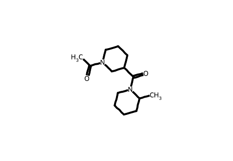 CC(=O)N1CCCC(C(=O)N2CCCCC2C)C1